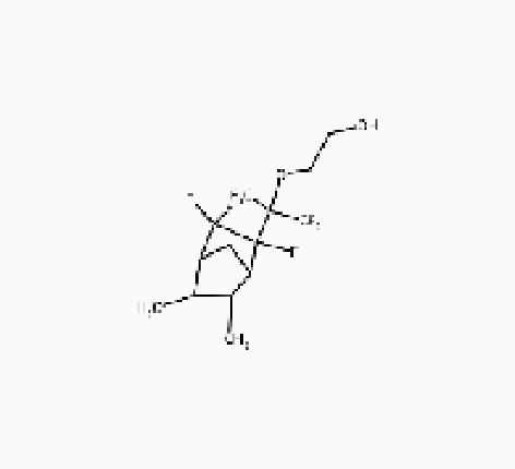 CC1C(C)C2CC1C(F)(F)C2(F)C(OCCO)(C(F)(F)F)C(F)(F)F